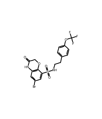 O=C1COc2c(cc(Br)cc2S(=O)(=O)NCCc2ccc(OC(F)(F)F)cc2)N1